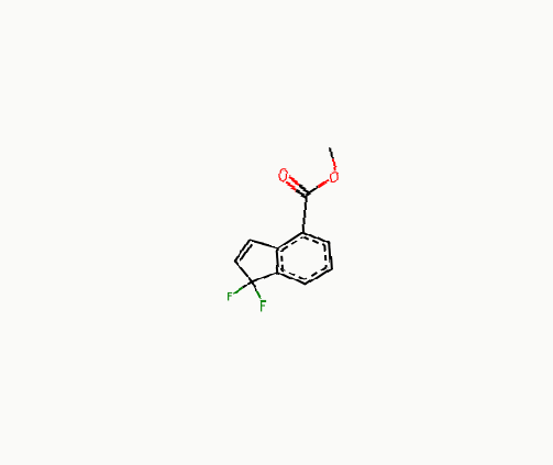 COC(=O)c1cccc2c1C=CC2(F)F